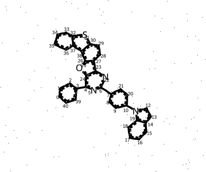 c1ccc(-c2nc(-c3ccc(-n4ccc5ccccc54)cc3)nc3c2oc2c3ccc3sc4ccccc4c32)cc1